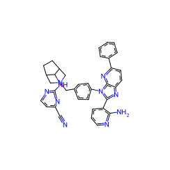 N#Cc1ccnc(NC2C3CCC2CN(Cc2ccc(-n4c(-c5cccnc5N)nc5ccc(-c6ccccc6)nc54)cc2)C3)n1